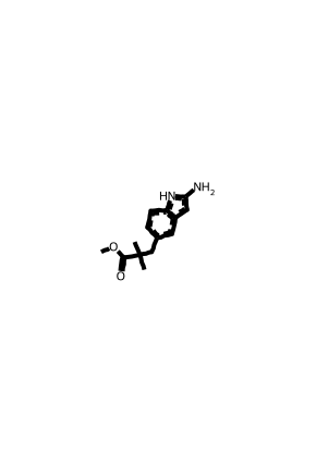 COC(=O)C(C)(C)Cc1ccc2[nH]c(N)cc2c1